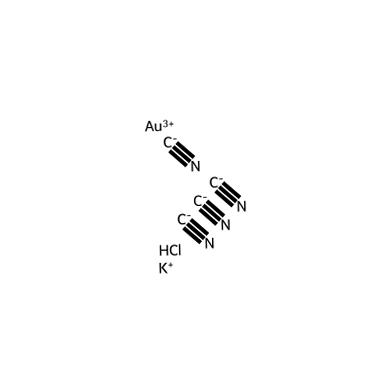 Cl.[Au+3].[C-]#N.[C-]#N.[C-]#N.[C-]#N.[K+]